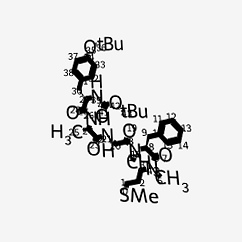 CSCCCN(C)C(=O)[C@H](Cc1ccccc1)N(C)C(=O)CNC(=O)[C@@H](C)NC(=O)[C@H](Cc1ccc(OC(C)(C)C)cc1)NC(=O)OC(C)(C)C